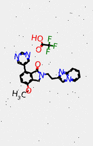 COc1ccc(-c2cncnc2)c2c1CN(CCc1cn3ccccc3n1)C2=O.O=C(O)C(F)(F)F